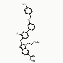 COCCn1c(Cc2ccc(-c3cccc(OCc4ccc(C#N)cc4)n3)cc2F)nc2ccc(C(=O)OC)cc21